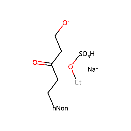 CCCCCCCCCCCC(=O)CC[O-].CCOS(=O)(=O)O.[Na+]